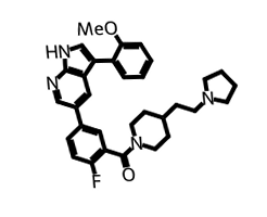 COc1ccccc1-c1c[nH]c2ncc(-c3ccc(F)c(C(=O)N4CCC(CCN5CCCC5)CC4)c3)cc12